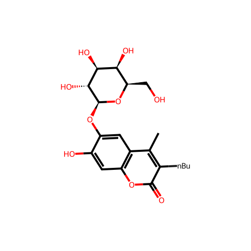 CCCCc1c(C)c2cc(O[C@@H]3O[C@H](CO)[C@H](O)[C@H](O)[C@H]3O)c(O)cc2oc1=O